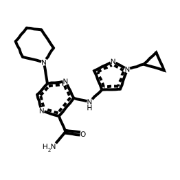 NC(=O)c1ncc(N2CCCCC2)nc1Nc1cnn(C2CC2)c1